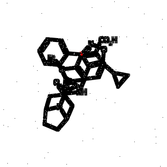 CCOc1cc(C(=O)O)ccc1NC(=O)N1C2CCC1CC(OCc1c(-c3ccccc3C3CC3)noc1C1CC1)C2